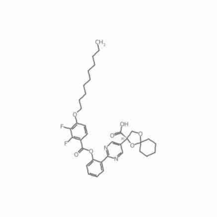 CCCCCCCCCCOc1ccc(C(=O)Oc2ccccc2-c2ncc([C@]3(C(=O)O)COC4(CCCCC4)O3)cn2)c(F)c1F